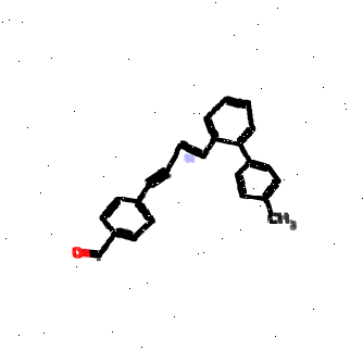 Cc1ccc(-c2ccccc2/C=C/C#Cc2ccc([C]=O)cc2)cc1